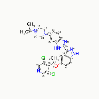 CC(Oc1ccc2[nH]nc(-c3nc4ccc(N5CCN(C(C)C)CC5)cc4[nH]3)c2c1)c1c(Cl)cncc1Cl